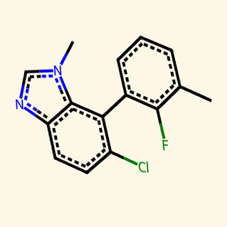 Cc1cccc(-c2c(Cl)ccc3ncn(C)c23)c1F